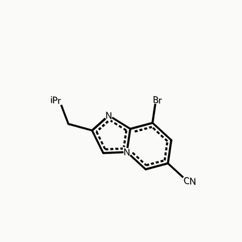 CC(C)Cc1cn2cc(C#N)cc(Br)c2n1